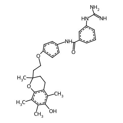 Cc1c(C)c2c(c(C)c1O)CCC(C)(CCOc1ccc(NC(=O)c3cccc(NC(=N)N)c3)cc1)O2